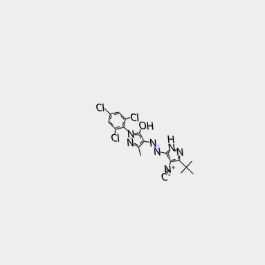 [C-]#[N+]c1c(C(C)(C)C)n[nH]c1/N=N/c1c(C)nn(-c2c(Cl)cc(Cl)cc2Cl)c1O